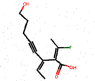 C/C=C(C#CCCCO)\C(C(=O)O)=C(/C)F